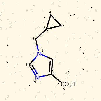 O=C(O)c1cn(CC2CC2)cn1